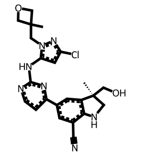 CC1(Cn2nc(Cl)cc2Nc2nccc(-c3cc(C#N)c4c(c3)[C@@](C)(CO)CN4)n2)COC1